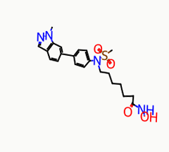 Cn1ncc2ccc(-c3ccc(N(CCCCCCC(=O)NO)S(C)(=O)=O)cc3)cc21